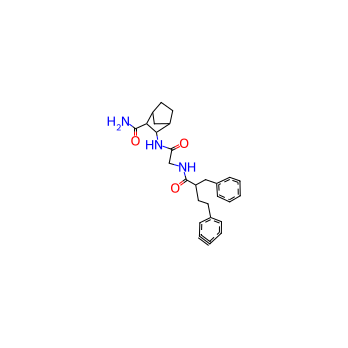 NC(=O)C1C2CCC(C2)C1NC(=O)CNC(=O)C(CCc1cc#ccc1)Cc1ccccc1